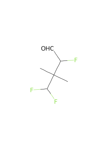 CC(C)(C(F)F)C(F)C=O